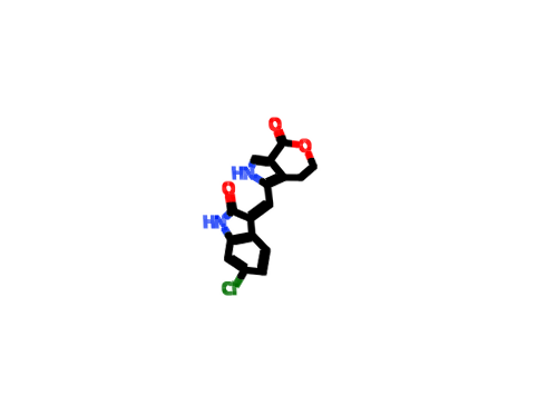 O=C1Nc2cc(Cl)ccc2C1=Cc1[nH]cc2c1CCOC2=O